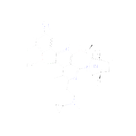 Cc1c(CCN(C)C2CC2)nc2c3c(nc(-c4cc(N)cc(F)c4OC(F)(F)F)c(F)c13)O[C@@H](C)[C@@H]1[C@@H]3CC[C@H](CN21)N3